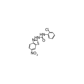 O=C(Nc1nc2ccc([N+](=O)[O-])cc2s1)Nc1ccccc1Cl